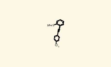 CSc1ccccc1C#Cc1ccc(C(F)(F)F)cc1